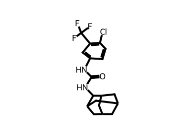 O=C(Nc1ccc(Cl)c(C(F)(F)F)c1)NC1C2CC3CC(C2)CC1C3